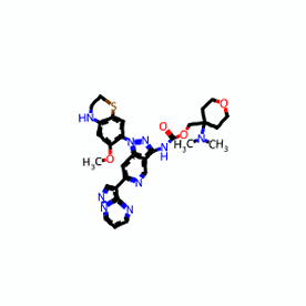 COc1cc2c(cc1-n1nc(NC(=O)OCC3(N(C)C)CCOCC3)c3cnc(-c4cnn5cccnc45)cc31)SCCN2